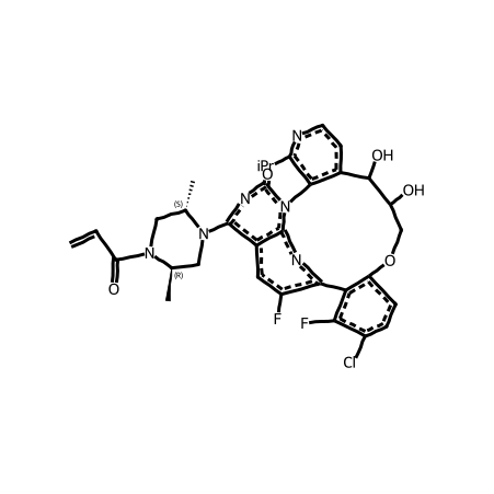 C=CC(=O)N1C[C@H](C)N(c2nc(=O)n3c4nc(c(F)cc24)-c2c(ccc(Cl)c2F)OCC(O)C(O)c2ccnc(C(C)C)c2-3)C[C@H]1C